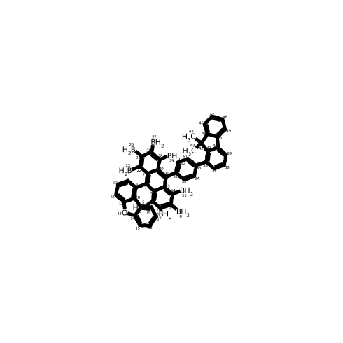 Bc1c(B)c(B)c2c(-c3cccc4oc5ccccc5c34)c3c(B)c(B)c(B)c(B)c3c(-c3ccc(-c4cccc5c4C(C)(C)c4ccccc4-5)cc3)c2c1B